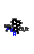 CCOC(=O)C1=C(C)NC(N=CN(C)C)=C(C(=O)OCC)C1c1cccc2ccccc12